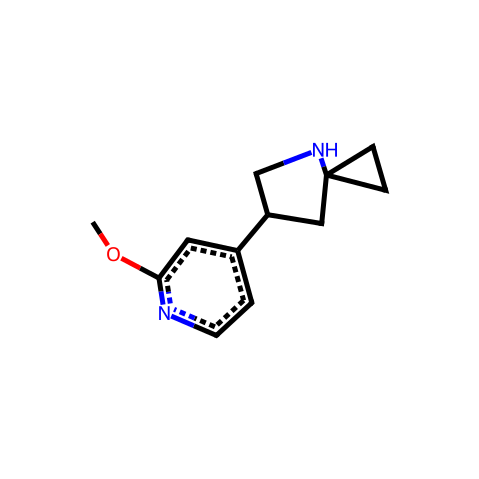 COc1cc(C2CNC3(CC3)C2)ccn1